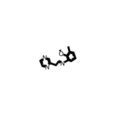 COc1c(C)cccc1N=CCc1cnccn1